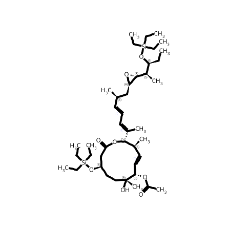 CC[C@H](O[Si](CC)(CC)CC)[C@@H](C)[C@H]1O[C@@H]1C[C@H](C)/C=C/C=C(\C)[C@H]1OC(=O)C[C@H](O[Si](CC)(CC)CC)CC[C@@](C)(O)[C@@H](OC(C)=O)/C=C/[C@@H]1C